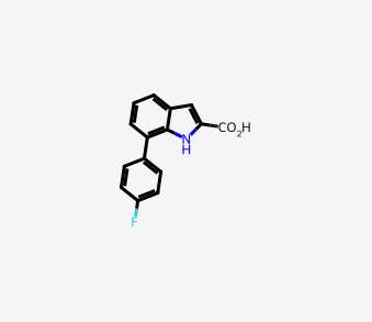 O=C(O)c1cc2cccc(-c3ccc(F)cc3)c2[nH]1